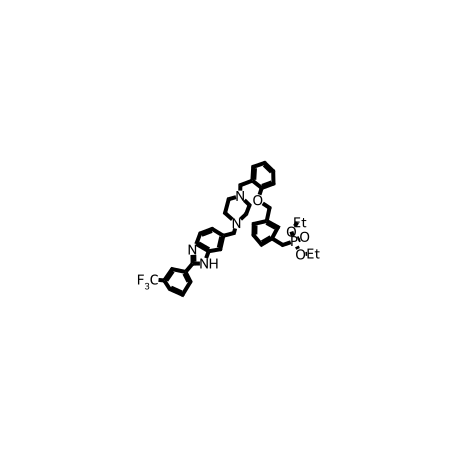 CCOP(=O)(Cc1cccc(COc2ccccc2CN2CCN(Cc3ccc4nc(-c5cccc(C(F)(F)F)c5)[nH]c4c3)CC2)c1)OCC